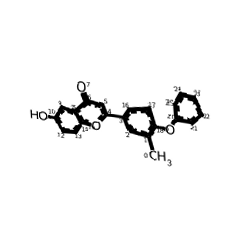 Cc1cc(-c2cc(=O)c3cc(O)ccc3o2)ccc1Oc1ccccc1